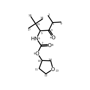 CC(C)C(=O)C(NC(=O)OC1CCOC1)C(C)(C)C